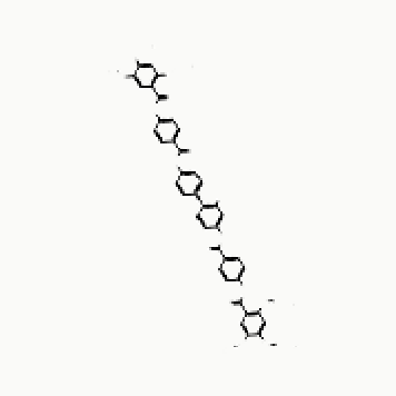 COc1cc(OC)c(C(=O)Oc2ccc(C(=O)Oc3ccc(-c4ccc(OC(=O)c5ccc(OC(=O)c6cc(OC)c(OC)cc6OC)cc5)cc4Cl)cc3)cc2)cc1OC